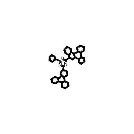 c1ccc(-c2nc(-c3ccc4c5ccccc5c5ccccc5c4c3)nc(-c3cc4c5ccccc5c5ccccc5c4c4ccccc34)n2)cc1